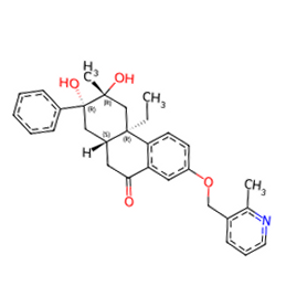 CC[C@@]12C[C@@](C)(O)[C@](O)(c3ccccc3)C[C@H]1CC(=O)c1cc(OCc3cccnc3C)ccc12